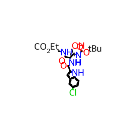 CCOC(=O)CNC(=O)C(NC(=O)c1cc2cc(Cl)ccc2[nH]1)[C@@H](CO)NC(=O)OC(C)(C)C